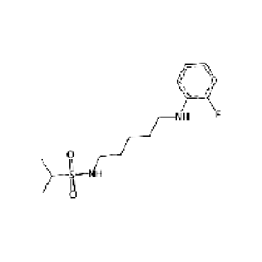 CC(C)S(=O)(=O)NCCCCCNc1ccccc1F